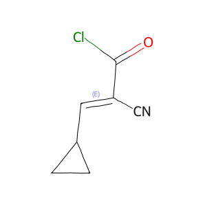 N#C/C(=C\C1CC1)C(=O)Cl